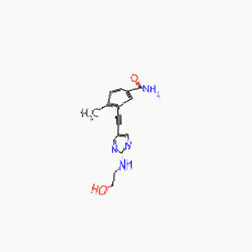 Cc1ccc(C(N)=O)cc1C#Cc1cnc(NCCO)nc1